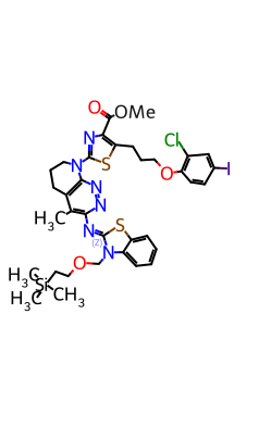 COC(=O)c1nc(N2CCCc3c2nnc(/N=c2\sc4ccccc4n2COCC[Si](C)(C)C)c3C)sc1CCCOc1ccc(I)cc1Cl